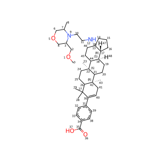 COCC1COCC(C)N1CCN[C@]12CCC[C@@H]1[C@H]1CCC3[C@@](C)(CCC4C(C)(C)C(c5ccc(C(=O)O)cc5)=CC[C@@]43C)C1CC2